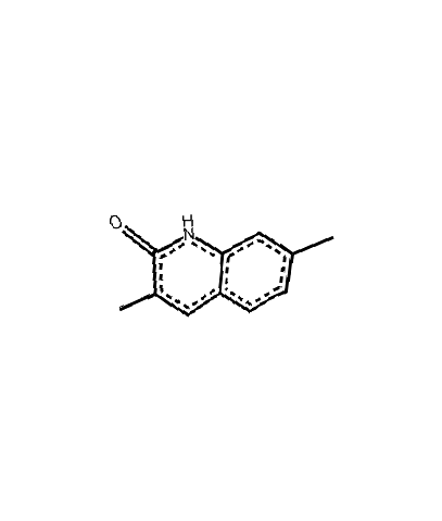 Cc1ccc2cc(C)c(=O)[nH]c2c1